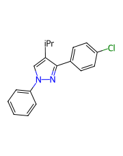 CC(C)c1cn(-c2ccccc2)nc1-c1ccc(Cl)cc1